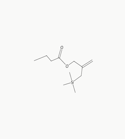 C=C(COC(=O)CCC)C[Si](C)(C)C